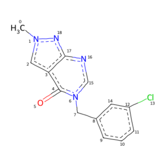 Cn1cc2c(=O)n(Cc3cccc(Cl)c3)cnc2n1